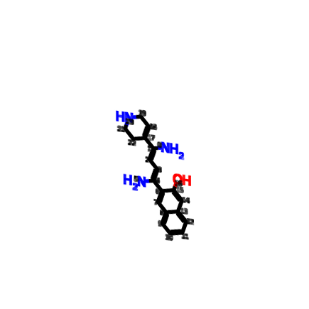 N/C(=C\C=C(/N)c1cc2ccccc2cc1O)C1=CCNCC1